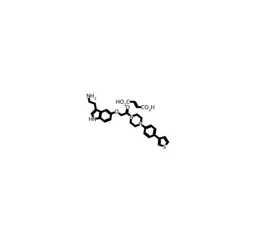 NCCc1c[nH]c2ccc(OCC(=O)N3CCN(c4ccc(-c5ccsc5)cc4)CC3)cc12.O=C(O)C=CC(=O)O